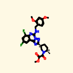 COC(=O)C(=O)N1C[C@H](c2nc3c4cc(F)cc(F)c4nc(NCc4ccc(OC)cc4OC)n3n2)CC[C@@H]1C